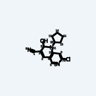 N#CC1=Cc2cnc(Cl)cc2N(C2CCCC2)C1O